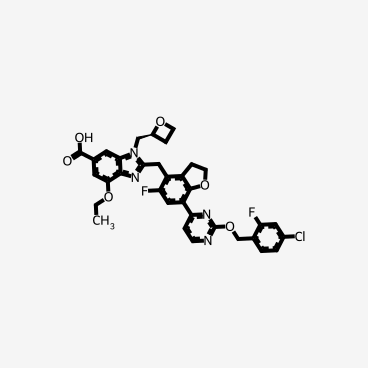 CCOc1cc(C(=O)O)cc2c1nc(Cc1c(F)cc(-c3ccnc(OCc4ccc(Cl)cc4F)n3)c3c1CCO3)n2C[C@@H]1CCO1